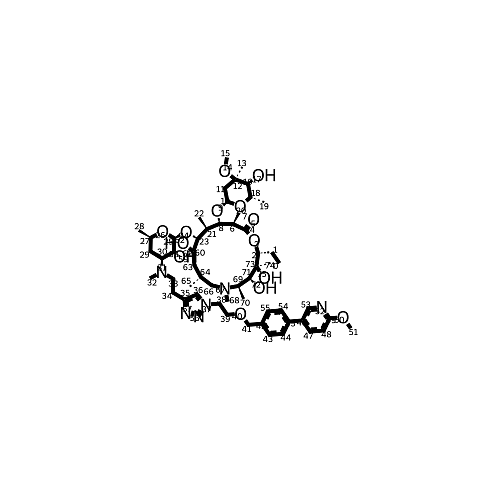 CC[C@H]1OC(=O)[C@H](C)[C@@H](O[C@H]2C[C@@](C)(OC)[C@@H](O)[C@H](C)O2)[C@H](C)[C@@H](O[C@@H]2O[C@H](C)C[C@H](N(C)CCc3cn(CCOCc4ccc(-c5ccc(OC)nc5)cc4)nn3)[C@H]2O)[C@](C)(O)C[C@@H](C)CN(C)[C@H](C)[C@@H](O)[C@]1(C)O